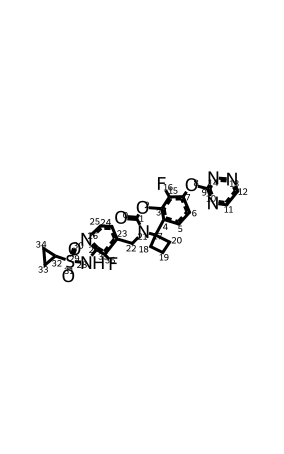 O=C1Oc2c(ccc(Oc3nccnn3)c2F)C2(CCC2)N1Cc1ccnc(NS(=O)(=O)C2CC2)c1F